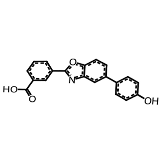 O=C(O)c1cccc(-c2nc3cc(-c4ccc(O)cc4)ccc3o2)c1